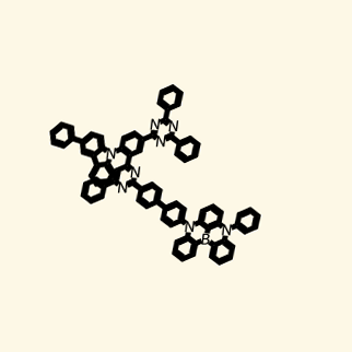 c1ccc(-c2ccc3c(c2)c2ccccc2n3-c2ccc(-c3nc(-c4ccccc4)nc(-c4ccccc4)n3)cc2-c2cc(-c3ccccc3)nc(-c3ccc(-c4ccc(N5c6ccccc6B6c7ccccc7N(c7ccccc7)c7cccc5c76)cc4)cc3)n2)cc1